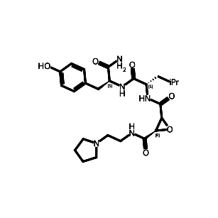 CC(C)C[C@H](NC(=O)C1O[C@H]1C(=O)NCCN1CCCC1)C(=O)N[C@@H](Cc1ccc(O)cc1)C(N)=O